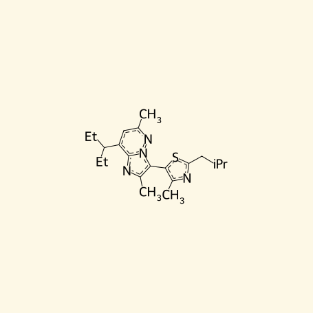 CCC(CC)c1cc(C)nn2c(-c3sc(CC(C)C)nc3C)c(C)nc12